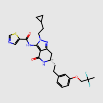 CC(F)(F)COc1cccc(CC[C@H]2Cc3nn(CCC4CC4)c(NC(=O)c4cncs4)c3C(=O)N2)c1